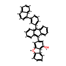 Oc1cc(-c2c3ccccc3c(-c3cccc(-c4cccc5ccccc45)c3)c3ccccc23)cc2oc3ccccc3c12